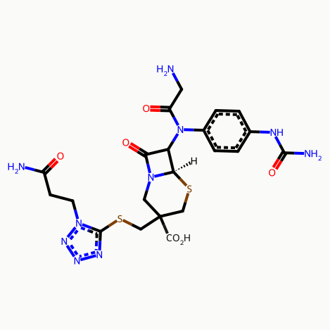 NCC(=O)N(c1ccc(NC(N)=O)cc1)C1C(=O)N2CC(CSc3nnnn3CCC(N)=O)(C(=O)O)CS[C@H]12